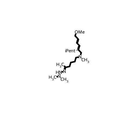 CCC[C@@H](C)/C(=C\C=C\COC)CN(C)CCCC/C(C)=N/NN(C)C